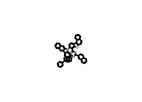 c1ccc(-c2ccc(-c3nc(-c4ccc5ccccc5c4)nc(-c4c(-n5c6cc7ccccc7cc6c6cc7ccccc7cc65)ccc5c4oc4ccc6ccccc6c45)n3)cc2)cc1